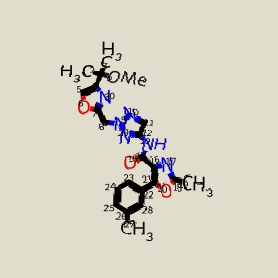 COC(C)(C)c1coc(Cn2ncc(NC(=O)c3nc(C)oc3-c3cccc(C)c3)n2)n1